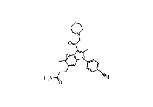 Cc1nc2c(C(=O)CN3CCCCC3)c(C)n(-c3ccc(C#N)cc3)c2cc1CCC(N)=O